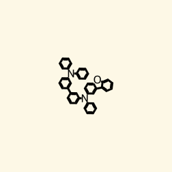 c1ccc(N(c2ccccc2)c2cccc(-c3cccc(N(c4ccccc4)c4ccc5oc6ccccc6c5c4)c3)c2)cc1